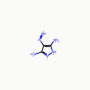 N=Nc1c(N)n[nH]c1N